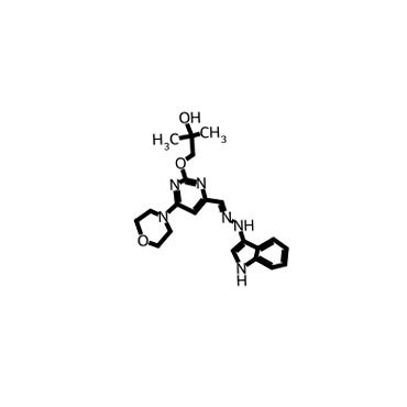 CC(C)(O)COc1nc(C=NNc2c[nH]c3ccccc23)cc(N2CCOCC2)n1